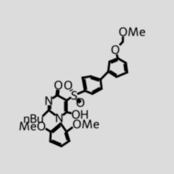 CCCCc1nc(=O)c(S(=O)(=O)c2ccc(-c3cccc(OCOC)c3)cc2)c(O)n1-c1c(OC)cccc1OC